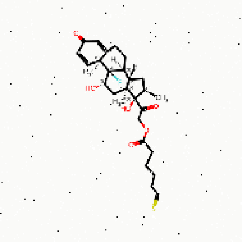 C[C@@H]1C[C@H]2[C@@H]3CCC4=CC(=O)C=C[C@]4(C)[C@@]3(F)[C@@H](O)C[C@]2(C)[C@@]1(O)C(=O)COC(=O)CCCCC=S